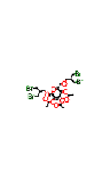 CC(=O)O[C@@H]1[C@@H](OC(C)=O)[C@@H](OCC(CBr)CBr)O[C@H](COCC(CBr)CBr)[C@H]1OC(C)=O